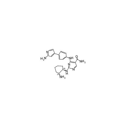 NC(=O)c1cnc(N[C@@H]2CCCC[C@@H]2N)nc1Nc1ccc(-c2ccnc(N)c2)cc1